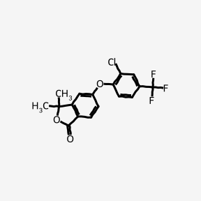 CC1(C)OC(=O)c2ccc(Oc3ccc(C(F)(F)F)cc3Cl)cc21